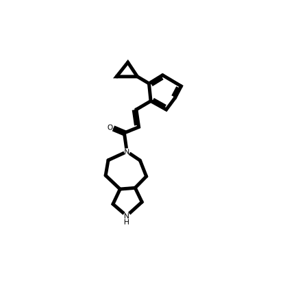 O=C(C=Cc1ccccc1C1CC1)N1CCC2CNCC2CC1